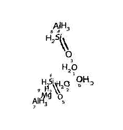 O.O.O.O=[SiH2].O=[SiH2].[AlH3].[AlH3].[MgH2]